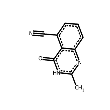 Cc1nc2cccc(C#N)c2c(=O)[nH]1